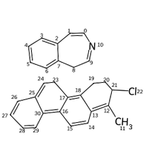 C1=Cc2ccccc2CC=N1.CC1=c2ccc3c(c2CCC1Cl)CC=c1ccccc1=3